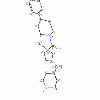 CC(C)[C@]1(C(=O)N2CCC(c3ccccc3)CC2)CCC(NC2CCOCC2)C1